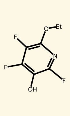 CCOc1nc(F)c(O)c(F)c1F